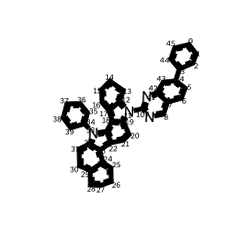 c1ccc(-c2ccc3cnc(-n4c5ccccc5c5c4ccc4c6c7ccccc7ccc6n(-c6ccccc6)c45)nc3c2)cc1